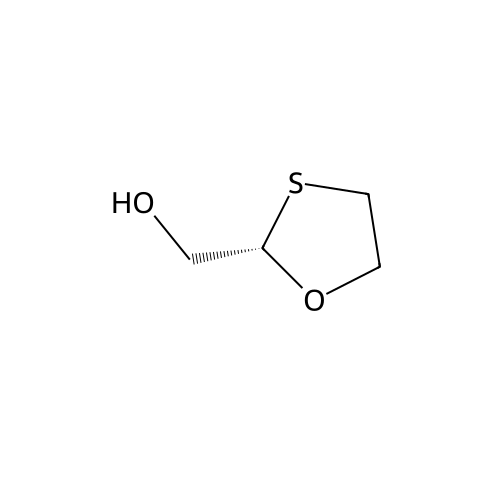 OC[C@H]1OCCS1